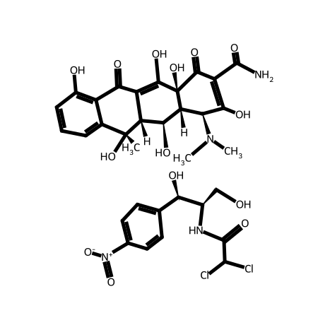 CN(C)[C@@H]1C(O)=C(C(N)=O)C(=O)[C@@]2(O)C(O)=C3C(=O)c4c(O)cccc4[C@@](C)(O)[C@H]3[C@H](O)[C@@H]12.O=C(N[C@H](CO)[C@H](O)c1ccc([N+](=O)[O-])cc1)C(Cl)Cl